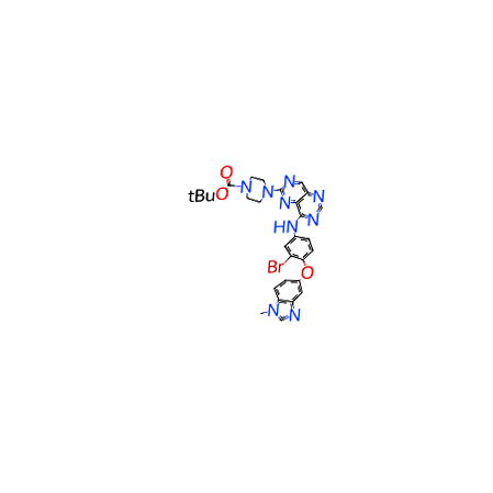 Cn1cnc2cc(Oc3ccc(Nc4ncnc5cnc(N6CCN(C(=O)OC(C)(C)C)CC6)nc45)cc3Br)ccc21